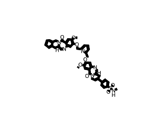 CNS(=O)(=O)c1ccc(C2=CCN3C(=O)c4cc(OC)c(OCc5cccc(COc6cc7c(cc6OC)C(=O)N6Cc8ccccc8C[C@H]6C=N7)n5)cc4N=C[C@@H]3C2)cc1